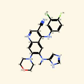 CN(c1cnc[nH]1)c1cc2c(Nc3ccc(F)c(Cl)c3)c(C#N)cnc2cc1N1CCOCC1